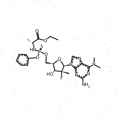 CCOC(=O)[C@@H](C)NP(=S)(OC[C@H]1O[C@@H](n2cnc3c(N(C)C)nc(N)nc32)[C@](C)(F)[C@@H]1O)Oc1ccccc1